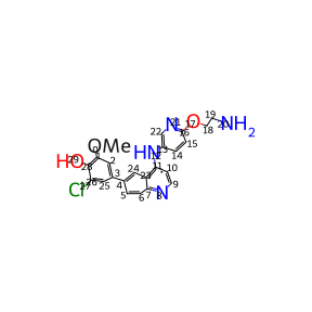 COc1cc(-c2ccc3nc[c]c(Nc4ccc(OCCN)nc4)c3c2)cc(Cl)c1O